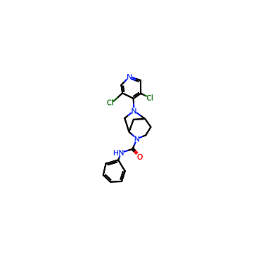 O=C(Nc1ccccc1)N1CCC2CC1CN2c1c(Cl)cncc1Cl